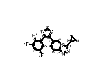 Fc1cc(F)c(F)c(-c2ncoc2-c2ccc3nnc(C4CC4)n3c2)c1